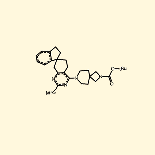 CSc1nc2c(c(N3CCC4(CC3)CN(C(=O)OC(C)(C)C)C4)n1)CCC1(CCc3ccccc31)C2